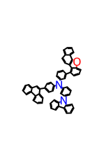 c1cc(-c2cccc3oc4c5ccccc5ccc4c23)cc(N(c2ccc(-c3cc4ccccc4c4ccccc34)cc2)c2cccc(-n3c4ccccc4c4ccccc43)c2)c1